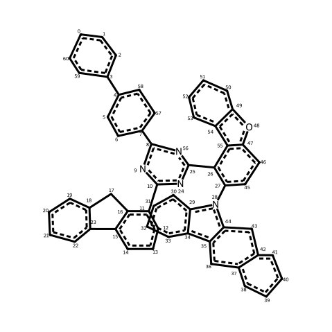 c1ccc(-c2ccc(-c3nc(-c4cccc5c4Cc4ccccc4-5)nc(-c4c(-n5c6ccccc6c6cc7ccccc7cc65)ccc5oc6ccccc6c45)n3)cc2)cc1